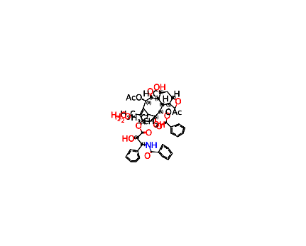 CC(=O)O[C@H]1C(=O)[C@@]2(C)[C@H]([C@H](OC(=O)c3ccccc3)[C@]3(O)C[C@H](OC(=O)[C@H](O)[C@@H](NC(=O)c4ccccc4)c4ccccc4)C(C)=C1C3(C)C)[C@]1(OC(C)=O)CO[C@@H]1C[C@@H]2O.O.O